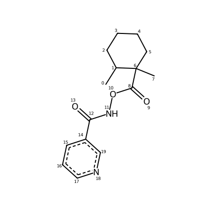 CC1CCCCC1(C)C(=O)ONC(=O)c1cccnc1